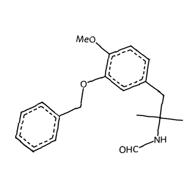 COc1ccc(CC(C)(C)NC=O)cc1OCc1ccccc1